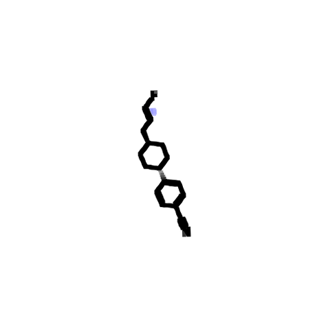 N#Cc1ccc([C@H]2CC[C@H](C/C=C/F)CC2)cc1